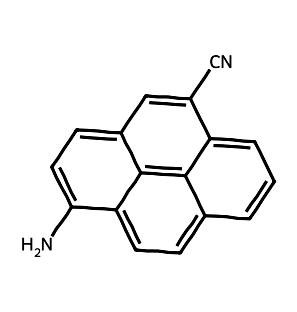 N#Cc1cc2ccc(N)c3ccc4cccc1c4c23